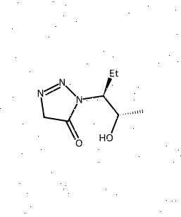 CC[C@@H]([C@H](C)O)N1N=NCC1=O